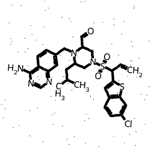 C=CC(c1cc2ccc(Cl)cc2s1)S(=O)(=O)N1CC(C=O)N(Cc2ccc3c(N)ncnc3c2)C(CC(C)C)C1